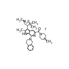 C=CCC(c1c(C)[nH]c2c(N3CCc4ccccc4C3)nc(C(=O)N3CCN(C)CC3)cc12)[N+](C)(C)C.[I-]